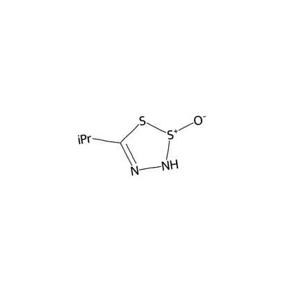 CC(C)C1=NN[S+]([O-])S1